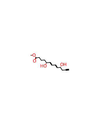 C#CC[C@@H](O)/C=C/C=C/[C@@H](O)CCCC(=O)OC